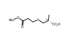 C[C@@H](CSCCC(=O)OC(C)(C)C)C(=O)O